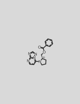 O=C(OC[C@H]1CCCN1c1ccnc2ncnn12)c1ccccc1